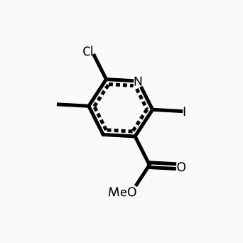 COC(=O)c1cc(C)c(Cl)nc1I